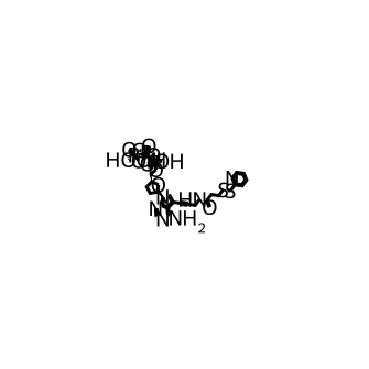 Nc1ncnc2c1c(C#CCNC(=O)CCSSc1ccccn1)cn2[C@H]1CC[C@@H](COP(=O)(O)OP(=O)(O)OP(=O)(O)O)O1